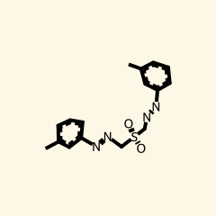 Cc1cccc(N=NCS(=O)(=O)CN=Nc2cccc(C)c2)c1